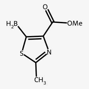 Bc1sc(C)nc1C(=O)OC